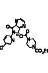 CCOC(=O)N1CCN(C(=O)O[C@H]2c3nccnc3C(=O)N2c2ccc(Cl)cn2)CC1